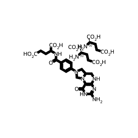 N[C@@H](CCC(=O)O)C(=O)O.N[C@@H](CCC(=O)O)C(=O)O.Nc1nc2c(c(=O)[nH]1)N1CN(c3ccc(C(=O)NC(CCC(=O)O)C(=O)O)cc3)CC1CN2